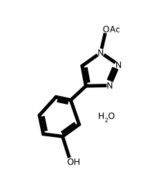 CC(=O)On1cc(-c2cccc(O)c2)nn1.O